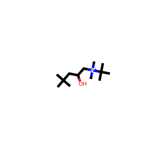 CC(C)(C)CC(O)C[N+](C)(C)C(C)(C)C